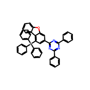 c1ccc(-c2nc(-c3ccccc3)nc(-c3cc([Si](c4ccccc4)(c4ccccc4)c4ccccc4)c4c(c3)oc3ccccc34)n2)cc1